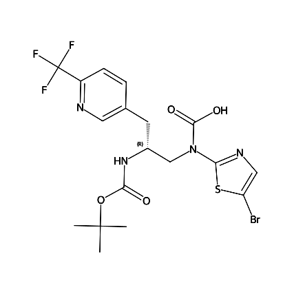 CC(C)(C)OC(=O)N[C@H](Cc1ccc(C(F)(F)F)nc1)CN(C(=O)O)c1ncc(Br)s1